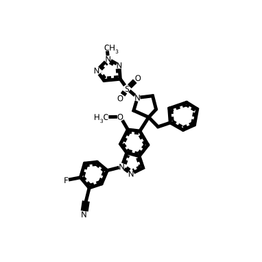 COc1cc2c(cnn2-c2ccc(F)c(C#N)c2)cc1C1(Cc2ccccc2)CCN(S(=O)(=O)c2cnn(C)n2)C1